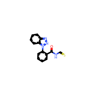 O=C(NC=S)c1ccccc1-n1nnc2ccccc21